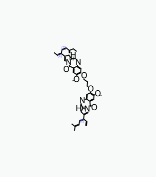 C=C/C(=C\C=C(C)C)C1=CN2C(=O)c3cc(OC)c(OCCCOc4cc5c(cc4OC)C(=O)N4C=C(C(/C=C\C(=C)CC)=C/C)C[C@H]4C=N5)cc3N=C[C@@H]2C1